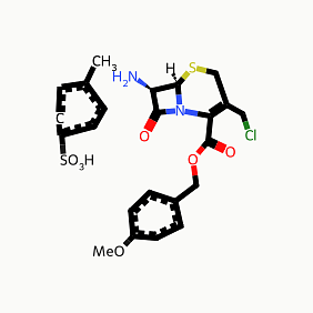 COc1ccc(COC(=O)C2=C(CCl)CS[C@@H]3[C@H](N)C(=O)N23)cc1.Cc1ccc(S(=O)(=O)O)cc1